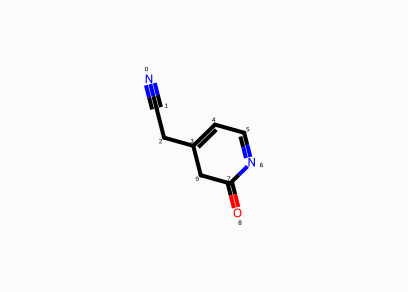 N#CCC1=CC=NC(=O)C1